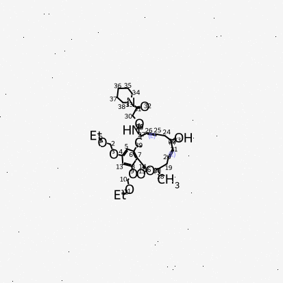 CCOCOc1cc2c(c(OCOCC)c1)C(=O)O[C@H](C)C/C=C/[C@H](O)C/C=C/C(NOCC(=O)N1CCCCC1)C2